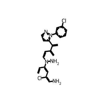 C=C/C(=C\C(Cl)=C/N)N(N)/C=C\C(=C)C(=C)c1ccnn1-c1cccc(Cl)c1